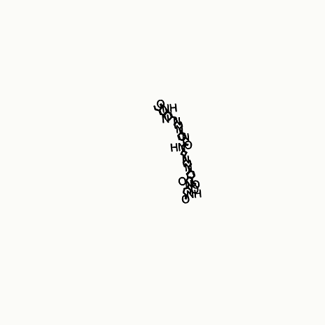 CCc1cc2ncc(CN3CCN(c4ccc(C(=O)NC5CC(N6CCN(c7ccc8c(c7)C(=O)N(C7CCC(=O)NC7=O)C8=O)CC6)C5)nc4)CC3)cc2[nH]c1=O